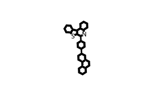 c1ccc2c(c1)ccc1cc(-c3ccc(-c4nc5ccccc5c5c4sc4ccccc45)cc3)ccc12